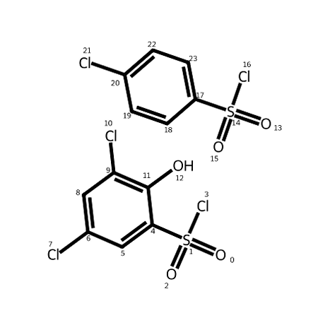 O=S(=O)(Cl)c1cc(Cl)cc(Cl)c1O.O=S(=O)(Cl)c1ccc(Cl)cc1